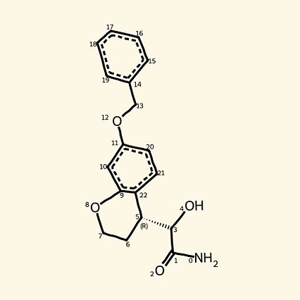 NC(=O)C(O)[C@@H]1CCOc2cc(OCc3ccccc3)ccc21